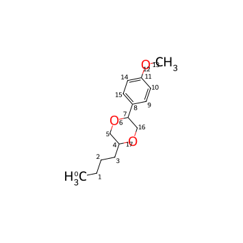 CCCCC1COC(c2ccc(OC)cc2)CO1